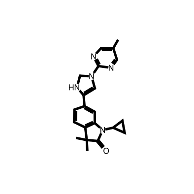 Cc1cnc(N2C=C(c3ccc4c(c3)N(C3CC3)C(=O)C4(C)C)NC2)nc1